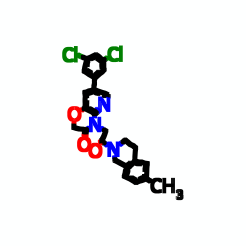 Cc1ccc2c(c1)CCN(C(=O)CN1C(=O)COc3cc(-c4cc(Cl)cc(Cl)c4)cnc31)C2